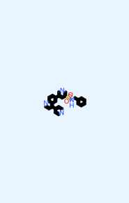 O=S(=O)(NCc1ccccc1)c1cncc(-c2ccc3nccc(-c4ccncc4)c3c2)c1